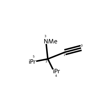 C#CC(NC)(C(C)C)C(C)C